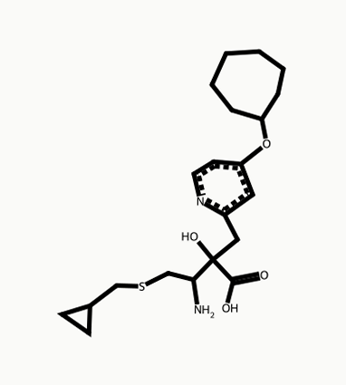 NC(CSCC1CC1)C(O)(Cc1cc(OC2CCCCCC2)ccn1)C(=O)O